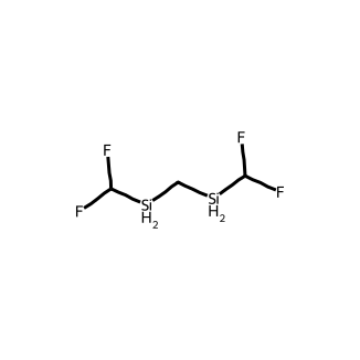 FC(F)[SiH2]C[SiH2]C(F)F